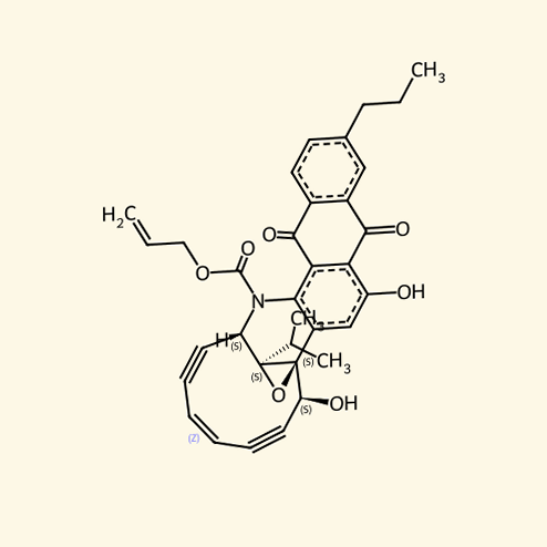 C=CCOC(=O)N1c2c(cc(O)c3c2C(=O)c2ccc(CCC)cc2C3=O)[C@@]23O[C@@]2(C(C)C)[C@@H]1C#C/C=C\C#C[C@@H]3O